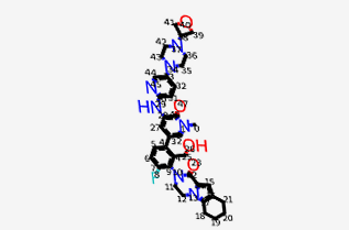 Cn1cc(-c2ccc(F)c(N3CCn4c(cc5c4CCCC5)C3=O)c2CO)cc(Nc2ccc(N3CCN(C4COC4)CC3)cn2)c1=O